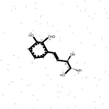 CCC[C@H](O)[C@H](O)/C=C/c1cccc(O)c1C=O